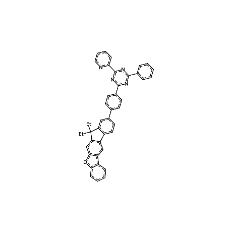 CCC1(CC)c2cc(-c3ccc(-c4nc(-c5ccccc5)nc(-c5ccccn5)n4)cc3)ccc2-c2cc3c(cc21)oc1ccccc13